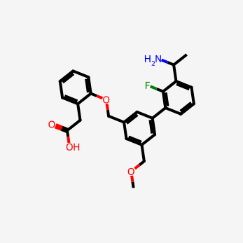 COCc1cc(COc2ccccc2CC(=O)O)cc(-c2cccc(C(C)N)c2F)c1